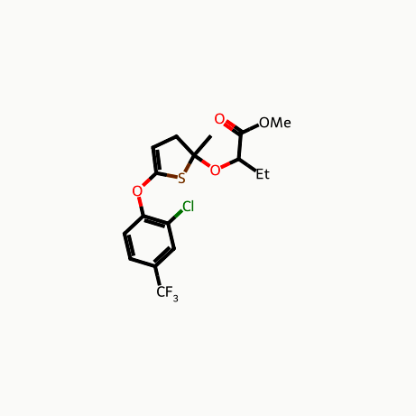 CCC(OC1(C)CC=C(Oc2ccc(C(F)(F)F)cc2Cl)S1)C(=O)OC